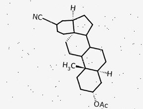 CC(=O)O[C@@H]1CC[C@]2(C)C3CC[C@]45CCC(C#N)C[C@H]4CCC5C3CC[C@H]2C1